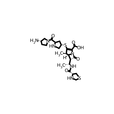 C[C@@H](NC(=O)[C@@H]1CSCN1)[C@H]1C(=O)N2C(C(=O)O)=C(S[C@@H]3CNC(C(=O)N4CC[C@H](N)C4)C3)[C@H](C)[C@H]12